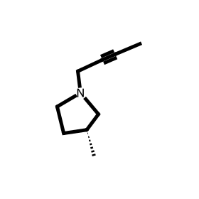 CC#CCN1CC[C@@H](C)C1